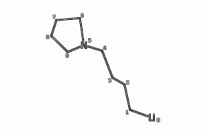 [Li][CH2]CCCN1CCCC1